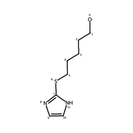 [O]CCCCCSc1ncc[nH]1